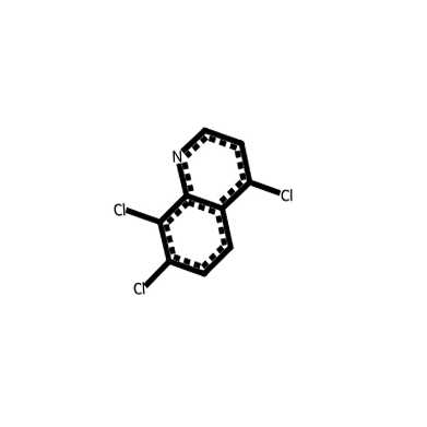 Clc1ccc2c(Cl)ccnc2c1Cl